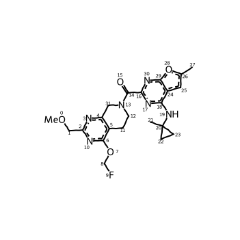 COCc1nc2c(c(OCF)n1)CCN(C(=O)c1nc(NC3(C)CC3)c3cc(C)oc3n1)C2